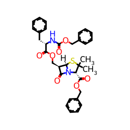 CC1(C)S[C@@H]2[C@H](COC(=O)[C@H](Cc3ccccc3)NC(=O)OCc3ccccc3)C(=O)N2[C@H]1C(=O)OCc1ccccc1